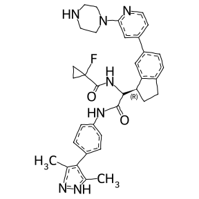 Cc1n[nH]c(C)c1-c1ccc(NC(=O)C(NC(=O)C2(F)CC2)[C@@H]2CCc3ccc(-c4ccnc(N5CCNCC5)c4)cc32)cc1